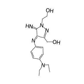 CCN(CC)c1ccc(N=C2C(=N)N(CCO)N=C2CO)cc1